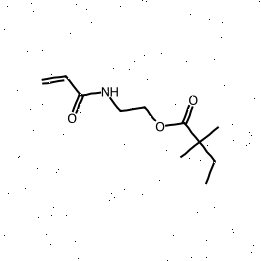 C=CC(=O)NCCOC(=O)C(C)(C)CC